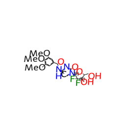 COc1cc(C(=O)Nc2ccn([C@@H]3OC(CO)[C@@H](O)C3(F)F)c(=O)n2)cc(OC)c1OC